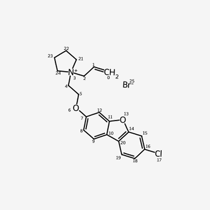 C=CC[N+]1(CCOc2ccc3c(c2)oc2cc(Cl)ccc23)CCCC1.[Br-]